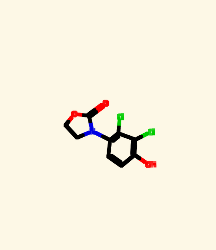 O=C1OCCN1c1ccc(O)c(Cl)c1Cl